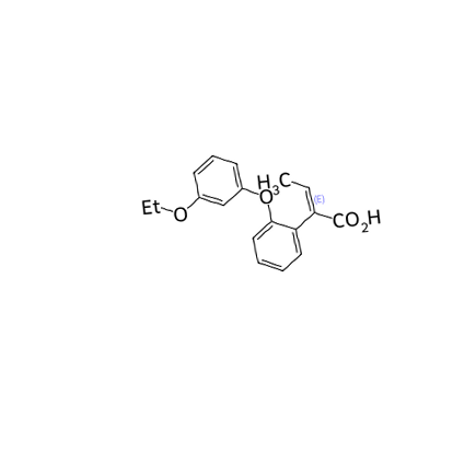 C/C=C(/C(=O)O)c1ccccc1Oc1cccc(OCC)c1